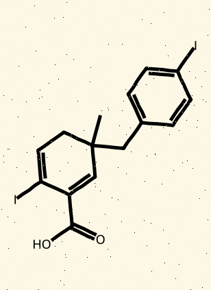 CC1(Cc2ccc(I)cc2)C=C(C(=O)O)C(I)=CC1